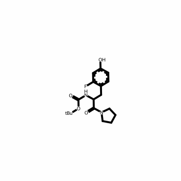 CC(C)(C)OC(=O)NC(Cc1ccc(O)cc1F)C(=O)N1CCCC1